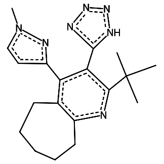 Cn1ccc(-c2c3c(nc(C(C)(C)C)c2-c2nnn[nH]2)CCCCC3)n1